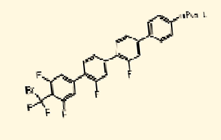 CCCCCc1ccc(-c2ccc(-c3ccc(-c4cc(F)c(C(F)(F)Br)c(F)c4)c(F)c3)c(F)c2)cc1